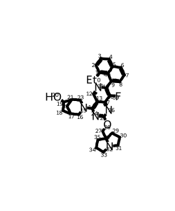 CCc1cccc2cccc(-c3ncc4c(N5CC6CC(O)C(C6)C5)nc(OCC56CCCN5CCC6)nc4c3F)c12